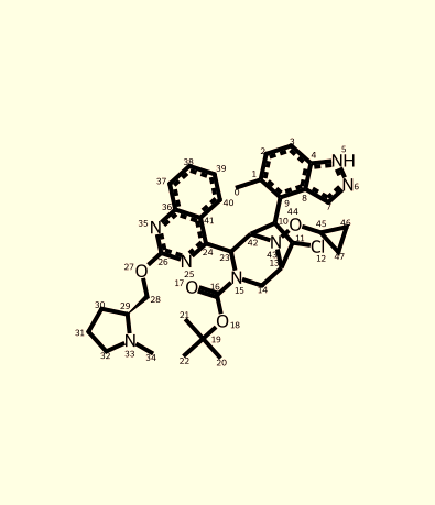 Cc1ccc2[nH]ncc2c1C1C(Cl)C2CN(C(=O)OC(C)(C)C)C(c3nc(OC[C@@H]4CCCN4C)nc4ccccc34)C1N2OC1CC1